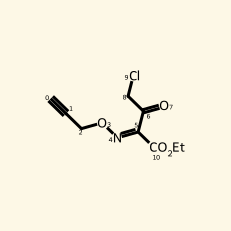 C#CCON=C(C(=O)CCl)C(=O)OCC